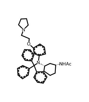 CC(=O)N[C@@H]1CCC[C@H](N(c2cccc(OCCN3CCCC3)c2)C(c2ccccc2)(c2ccccc2)c2ccccc2)C1